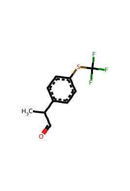 CC(C=O)c1ccc(SC(F)(F)F)cc1